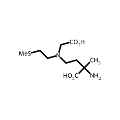 CSCCN(CCC(C)(N)C(=O)O)CC(=O)O